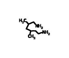 CC(CN)CC(C)CCN